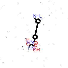 C[C@@H](O)C(NC(=O)c1ccc(C#CC#Cc2cccc(CN)c2)cc1)C(=O)NO